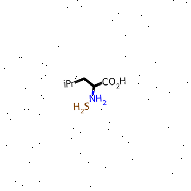 CC(C)CC(N)C(=O)O.S